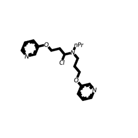 CCCN(CCCOc1cccnc1)C(Cl)CCOc1cccnc1